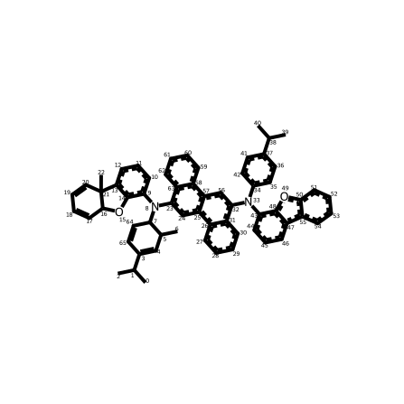 CC(C)C1=CC(C)C(N(c2cccc3c2OC2C=CC=CC32C)c2cc3c4ccccc4c(N(c4ccc(C(C)C)cc4)c4cccc5c4oc4ccccc45)cc3c3ccccc23)C=C1